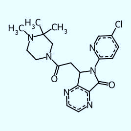 CN1CCN(C(=O)CC2c3nccnc3C(=O)N2c2ccc(Cl)cn2)CC1(C)C